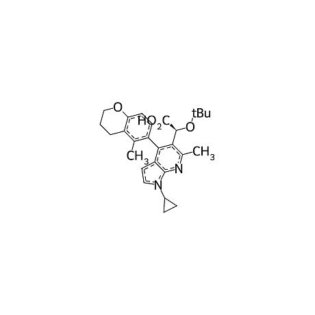 Cc1nc2c(ccn2C2CC2)c(-c2ccc3c(c2C)CCCO3)c1[C@H](OC(C)(C)C)C(=O)O